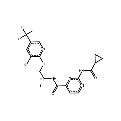 C[C@H](COc1ncc(C(F)(F)F)cc1Cl)NC(=O)c1ccnc(NC(=O)C2CC2)n1